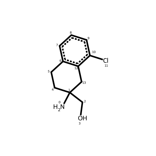 NC1(CO)CCc2cccc(Cl)c2C1